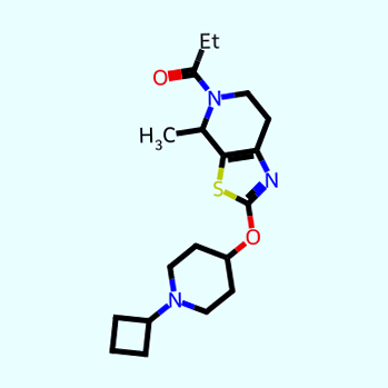 CCC(=O)N1CCc2nc(OC3CCN(C4CCC4)CC3)sc2C1C